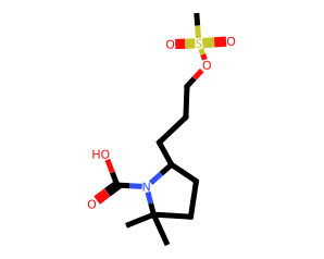 CC1(C)CCC(CCCOS(C)(=O)=O)N1C(=O)O